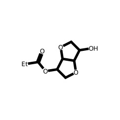 CCC(=O)OC1COC2C(O)COC12